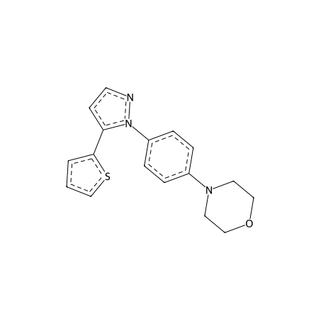 c1csc(-c2ccnn2-c2ccc(N3CCOCC3)cc2)c1